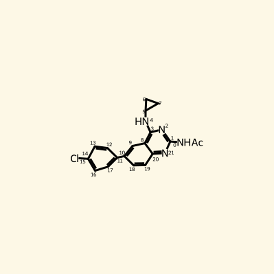 CC(=O)Nc1nc(NC2CC2)c2cc(-c3ccc(Cl)cc3)ccc2n1